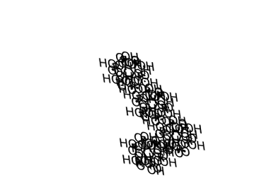 O=P(O)(O)O[C@H]1[C@H](OP(=O)(O)O)[C@@H](OP(=O)(O)O)[C@H](OP(=O)(O)O)[C@@H](OP(=O)(O)O)[C@H]1OP(=O)(O)O.O=P(O)(O)O[C@H]1[C@H](OP(=O)(O)O)[C@@H](OP(=O)(O)O)[C@H](OP(=O)(O)O)[C@@H](OP(=O)(O)O)[C@H]1OP(=O)(O)O.O=P(O)(O)O[C@H]1[C@H](OP(=O)(O)O)[C@@H](OP(=O)(O)O)[C@H](OP(=O)(O)O)[C@@H](OP(=O)(O)O)[C@H]1OP(=O)(O)O.O=P(O)(O)O[C@H]1[C@H](OP(=O)(O)O)[C@@H](OP(=O)(O)O)[C@H](OP(=O)(O)O)[C@@H](OP(=O)(O)O)[C@H]1OP(=O)(O)O